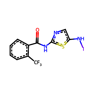 O=C(Nc1ncc(NI)s1)c1ccccc1C(F)(F)F